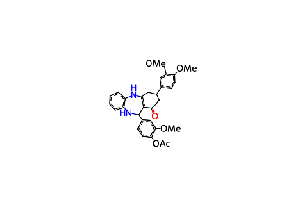 COc1ccc(C2CC(=O)C3=C(C2)Nc2ccccc2NC3c2ccc(OC(C)=O)c(OC)c2)cc1OC